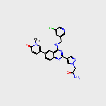 Cn1cc(-c2ccc3nc(-c4cnn(CC(N)=O)c4)nc(NCc4cncc(Cl)c4)c3c2)ccc1=O